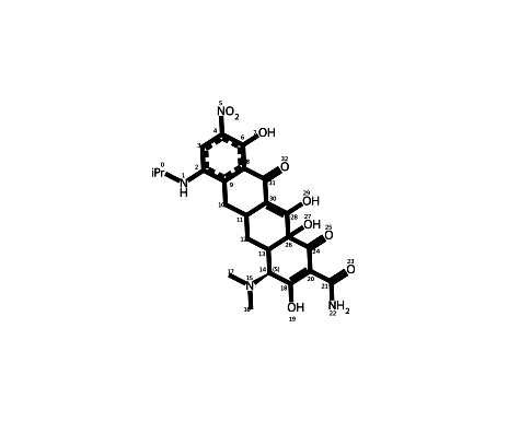 CC(C)Nc1cc([N+](=O)[O-])c(O)c2c1CC1CC3[C@H](N(C)C)C(O)=C(C(N)=O)C(=O)C3(O)C(O)=C1C2=O